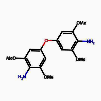 COc1cc(Oc2cc(OC)c(N)c(OC)c2)cc(OC)c1N